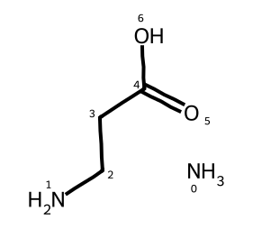 N.NCCC(=O)O